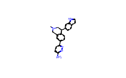 CN1Cc2cc(-c3ccc(N)nn3)ccc2C(c2ccc3cc[nH]c3c2)C1